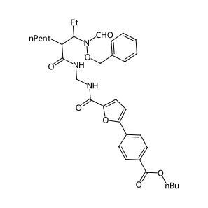 CCCCCC(C(=O)NCNC(=O)c1ccc(-c2ccc(C(=O)OCCCC)cc2)o1)C(CC)N(C=O)OCc1ccccc1